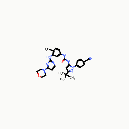 Cc1ccc(NC(=O)Nc2cc(C(C)(C)C)nn2-c2ccc(C#N)cc2)cc1Nc1nccc(N2CCOCC2)n1